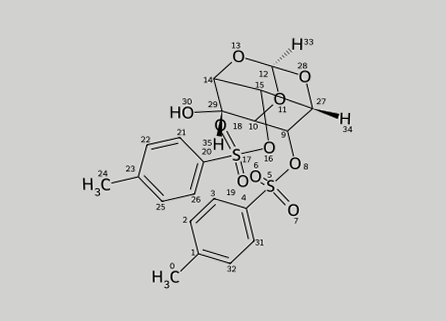 Cc1ccc(S(=O)(=O)OC2C3O[C@H]4OC(C(OS(=O)(=O)c5ccc(C)cc5)[C@@H]2O4)[C@H]3O)cc1